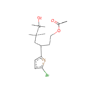 CC(=O)OCCC(CC(C)(C)[Si](C)(C)O)c1ccc(Br)s1